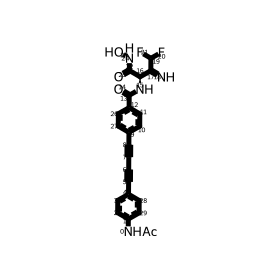 CC(=O)Nc1ccc(C#CC#Cc2ccc(C(=O)N[C@@H](C(=N)C(F)F)C(=O)NO)cc2)cc1